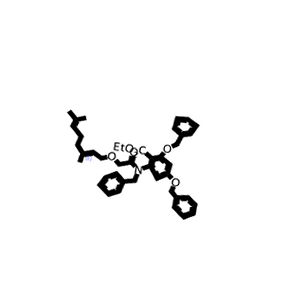 CCOC(=O)c1c(OCc2ccccc2)cc(OCc2ccccc2)cc1N(Cc1ccccc1)C(=O)COC/C=C(\C)CCC=C(C)C